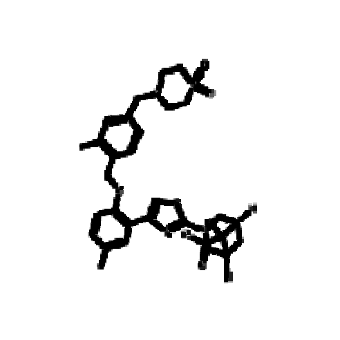 Cc1ccc(OCc2ccc(CN3CCS(=O)(=O)CC3)cc2C)c(-c2csc(N3C[C@H]4C[C@@H](C3)[C@H]4C(=O)O)n2)c1